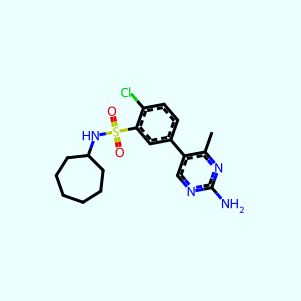 Cc1nc(N)ncc1-c1ccc(Cl)c(S(=O)(=O)NC2CCCCCC2)c1